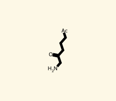 CC(=O)CCCC(=O)CN